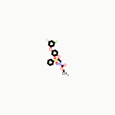 CCOC(=O)NCC(Oc1ccc(Oc2cc(F)cc(F)c2)cc1)S(=O)(=O)c1ccccc1